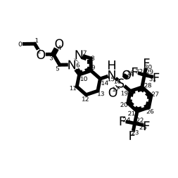 CCOC(=O)Cn1ncc2c1CCCC2NS(=O)(=O)c1cc(C(F)(F)F)ccc1C(F)(F)F